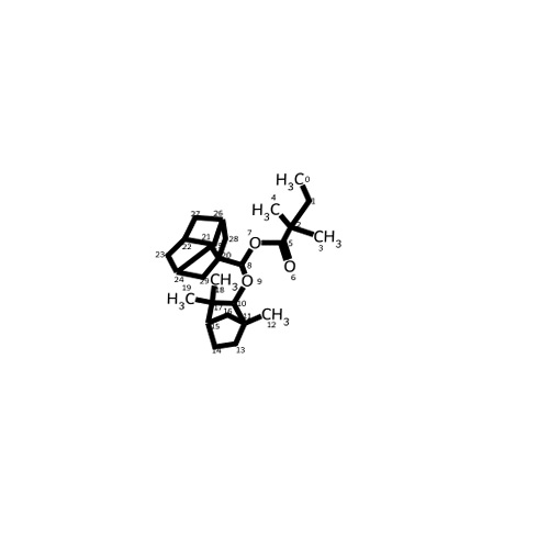 CCC(C)(C)C(=O)OC(OC1C2(C)CCC(C2)C1(C)C)C12CC3CC(CC(C3)C1)C2